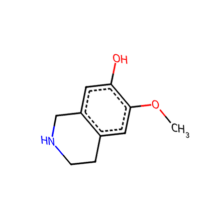 COc1cc2c(cc1O)CNCC2